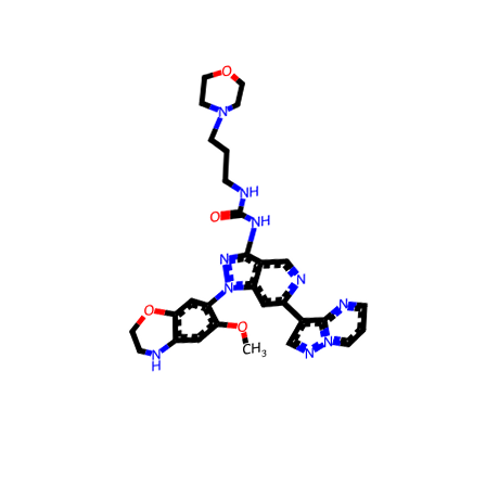 COc1cc2c(cc1-n1nc(NC(=O)NCCCN3CCOCC3)c3cnc(-c4cnn5cccnc45)cc31)OCCN2